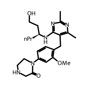 CCC[C@@H](CCO)Nc1nc(C)nc(C)c1Cc1ccc(N2CCNCC2=O)cc1OC